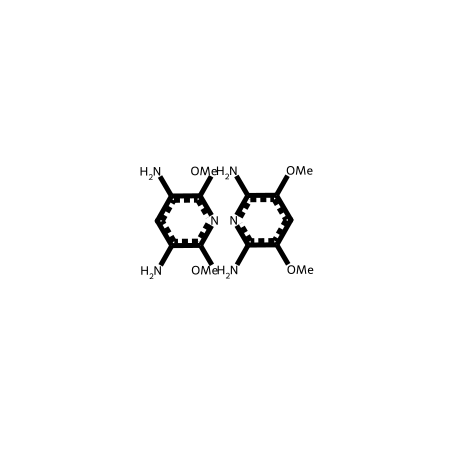 COc1cc(OC)c(N)nc1N.COc1nc(OC)c(N)cc1N